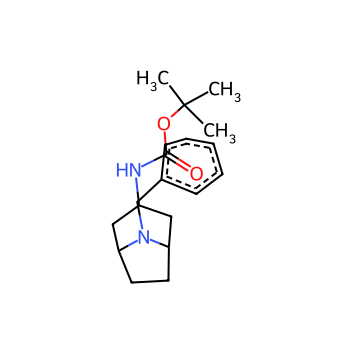 CC(C)(C)OC(=O)NC1CC2CCC(C1)N2Cc1ccccc1